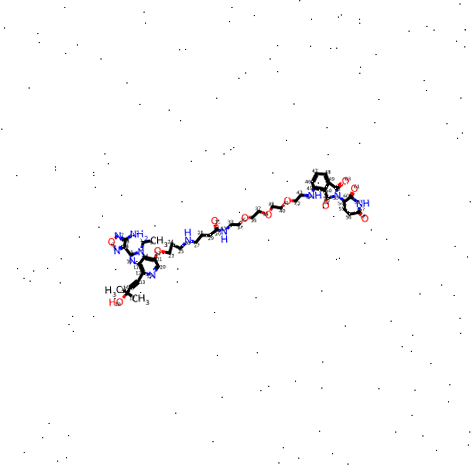 CCn1c(-c2nonc2N)nc2c(C#CC(C)(C)O)ncc(OCCCNCCCC(=O)NCCOCCOCCOCCNc3cccc4c3C(=O)N(C3CCC(=O)NC3=O)C4=O)c21